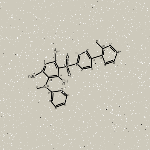 CCCCc1nc(O)c(S(=O)(=O)c2ccc(-c3ccncc3C)cc2)c(O)c1N(C)c1ccccc1